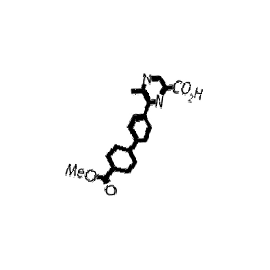 COC(=O)C1CCC(c2ccc(-c3nc(C(=O)O)cnc3C)cc2)CC1